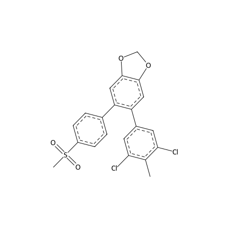 Cc1c(Cl)cc(-c2cc3c(cc2-c2ccc(S(C)(=O)=O)cc2)OCO3)cc1Cl